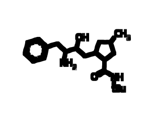 CC1CC(CC(O)C(N)Cc2ccccc2)C(C(=O)NC(C)(C)C)C1